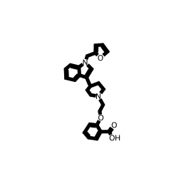 O=C(O)c1ccccc1OCCN1CCC(c2cn(Cc3ccco3)c3ccccc23)CC1